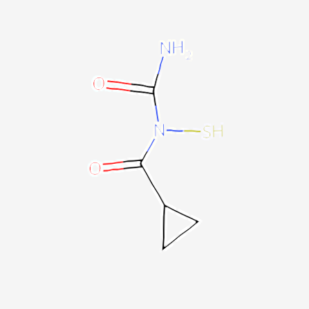 NC(=O)N(S)C(=O)C1CC1